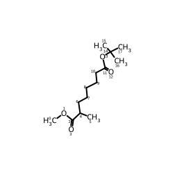 COC(=O)C(C)CCCCCC(=O)OC(C)(C)C